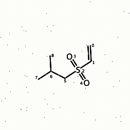 C=CS(=O)(=O)CC(C)C